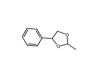 CC1OCC(c2ccccc2)O1